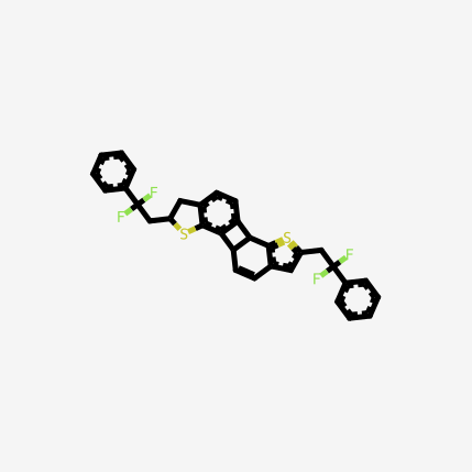 FC(F)(Cc1cc2c(s1)C1c3ccc4c(c3C1C=C2)SC(CC(F)(F)c1ccccc1)C4)c1ccccc1